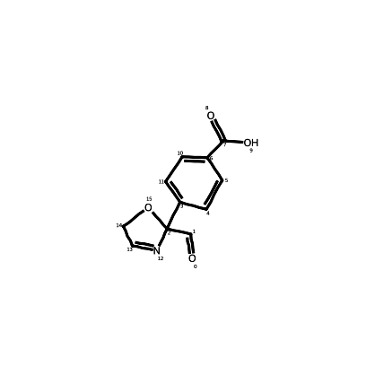 O=CC1(c2ccc(C(=O)O)cc2)N=CCO1